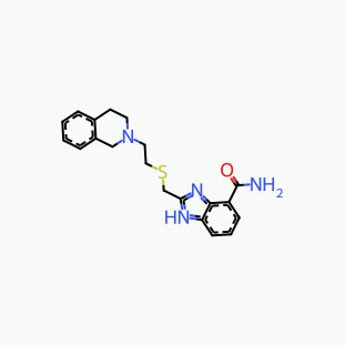 NC(=O)c1cccc2[nH]c(CSCCN3CCc4ccccc4C3)nc12